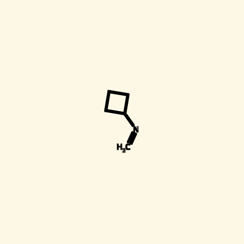 C=NC1CCC1